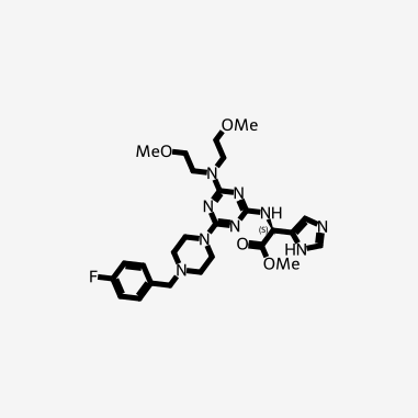 COCCN(CCOC)c1nc(N[C@H](C(=O)OC)c2cnc[nH]2)nc(N2CCN(Cc3ccc(F)cc3)CC2)n1